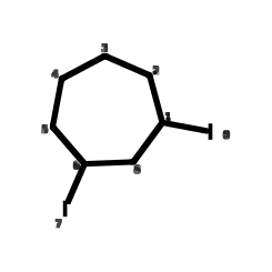 IC1CCCCC(I)C1